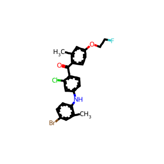 Cc1cc(Br)ccc1Nc1ccc(C(=O)c2ccc(OCCF)cc2C)c(Cl)c1